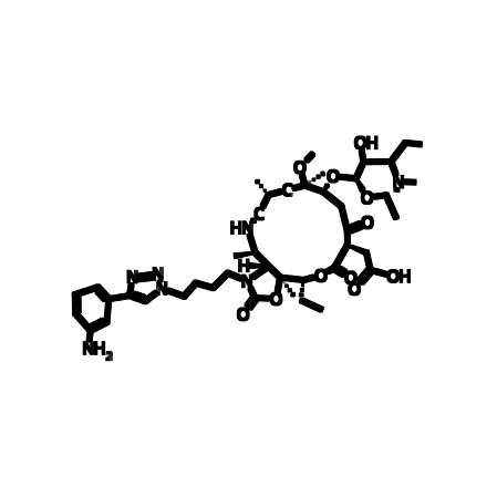 CCO[C@@H](O[C@@H]1CC(=O)[C@@H](CC(=O)O)C(=O)O[C@H](CC)[C@@]2(C)OC(=O)N(CCCCn3cc(-c4cccc(N)c4)nn3)[C@@H]2[C@@H](C)NC[C@H](C)C[C@@]1(C)OC)C(O)C(CC)N(C)C